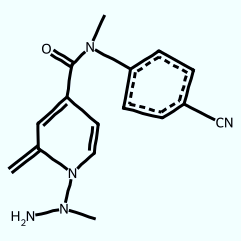 C=C1C=C(C(=O)N(C)c2ccc(C#N)cc2)C=CN1N(C)N